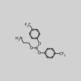 NCCOB(Oc1ccc(C(F)(F)F)cc1)Oc1ccc(C(F)(F)F)cc1